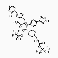 CC(C)(C)OC(=O)NC[C@H]1CC[C@H](C(=O)N(c2ccc(-c3nn[nH]n3)cc2)[C@@H](Cc2ccc(-c3ccncc3Cl)cc2)C(N)=O)CC1.O=C(O)C(F)(F)F